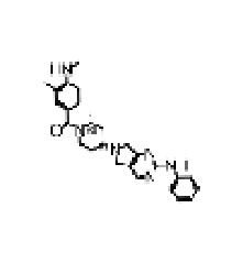 CNc1ccc(C(=O)N2CC[C@@H](N3Cc4cnc(Nc5ccccc5)nc4C3)C[C@H]2C)cc1C